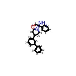 NC(C=O)(c1ccccc1)N1CCC(c2cccc(-c3ccccc3)c2)CC1